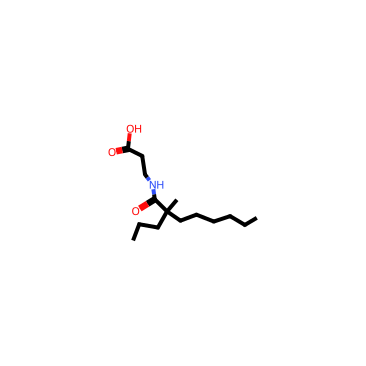 CCCCCCC(C)(CCC)C(=O)NCCC(=O)O